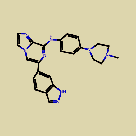 CN1CCN(c2ccc(Nc3nc(-c4ccc5cn[nH]c5c4)cn4ccnc34)cc2)CC1